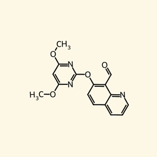 COc1cc(OC)nc(Oc2ccc3cccnc3c2C=O)n1